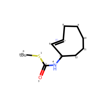 CC(C)(C)SC(=O)NC1/C=C/CCCCC1